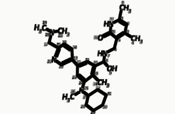 Cc1cc(C)c(CNC(O)c2cc(-c3ccc(CN(C)C)nc3)cc(N(C)C3CCCCC3)c2C)c(=O)[nH]1